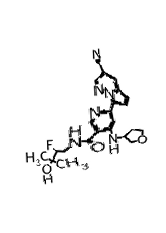 CC(C)(O)C(F)CNC(=O)c1cnc(-c2ccc3cc(C#N)cnn23)cc1NC1CCOC1